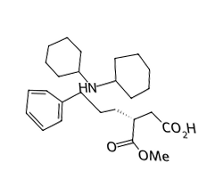 C1CCC(NC2CCCCC2)CC1.COC(=O)[C@H](CCCc1ccccc1)CC(=O)O